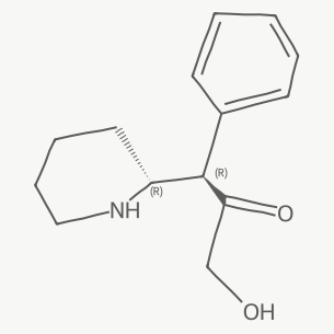 O=C(CO)[C@H](c1ccccc1)[C@H]1CCCCN1